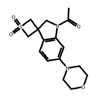 CC(=O)N1CC2(CS(=O)(=O)C2)c2ccc(N3CCOCC3)cc21